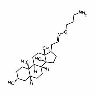 C[C@]12CC[C@H](O)C[C@H]1CC[C@@H]1[C@@H]2CC[C@]2(C)[C@@H](C/C=N/OCCCN)CC[C@]12O